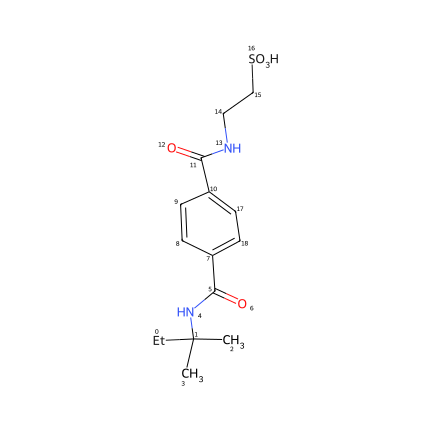 CCC(C)(C)NC(=O)c1ccc(C(=O)NCCS(=O)(=O)O)cc1